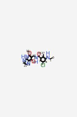 CCNc1cc(Cl)cc(C(=O)NCc2c(OC)[nH]c3nccnc3c2=O)c1C